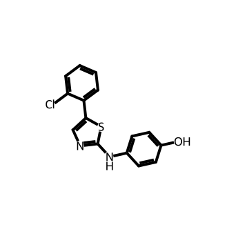 Oc1ccc(Nc2ncc(-c3ccccc3Cl)s2)cc1